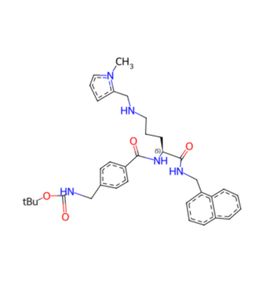 Cn1cccc1CNCCC[C@H](NC(=O)c1ccc(CNC(=O)OC(C)(C)C)cc1)C(=O)NCc1cccc2ccccc12